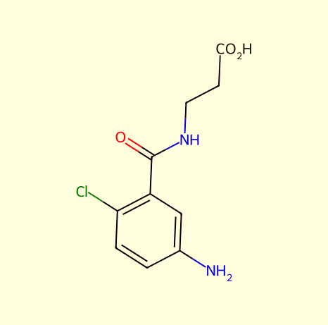 Nc1ccc(Cl)c(C(=O)NCCC(=O)O)c1